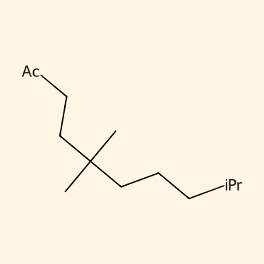 [CH2]C(=O)CCC(C)(C)CCCC(C)C